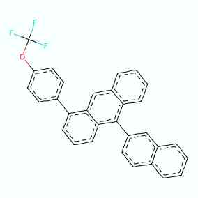 FC(F)(F)Oc1ccc(-c2cccc3c(-c4ccc5ccccc5c4)c4ccccc4cc23)cc1